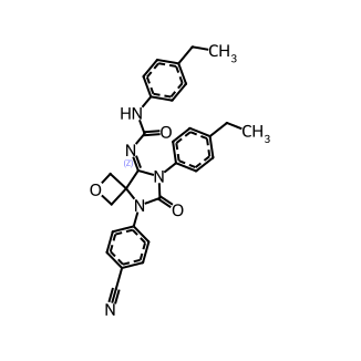 CCc1ccc(NC(=O)/N=C2\N(c3ccc(CC)cc3)C(=O)N(c3ccc(C#N)cc3)C23COC3)cc1